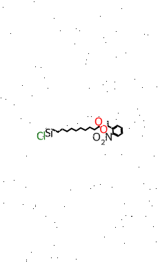 CC(OC(=O)CCCCCCCCCC[Si](C)(C)Cl)c1ccccc1[N+](=O)[O-]